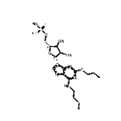 CCCSc1nc(NCCSC)c2ncn([C@@H]3O[C@H](COP(=O)(O)O)C(O)C3O)c2n1